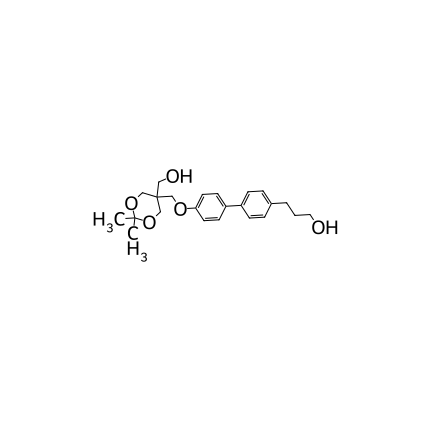 CC1(C)OCC(CO)(COc2ccc(-c3ccc(CCCO)cc3)cc2)CO1